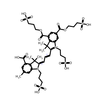 Cc1cc(C(=O)O)c2c(c1)N(CCCS(=O)(=O)O)/C(=C/C=C/C1=[N+](CCCS(=O)(=O)O)c3cc(C(=O)OCCCS(=O)(=O)O)cc(C(=O)OCCCS(=O)(=O)O)c3C1(C)C)C2(C)C